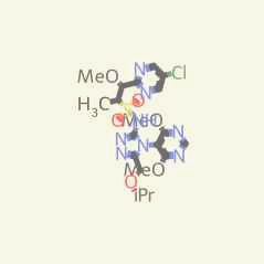 COc1ncnc(OC)c1-n1c(COC(C)C)nnc1NS(=O)(=O)C(C)C(OC)c1ncc(Cl)cn1